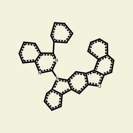 c1ccc(-c2nc(-n3c4ccccc4c4cc5oc6ccc7ccccc7c6c5cc43)nc3ccccc23)cc1